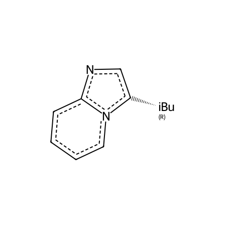 CC[C@@H](C)c1cnc2ccccn12